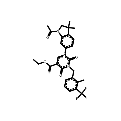 CCOC(=O)c1cn(-c2ccc3c(c2)N(C(C)=O)CC3(C)C)c(=O)n(Cc2cccc(C(F)(F)F)c2C)c1=O